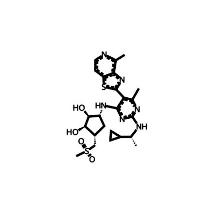 Cc1nc(N[C@H](C)C2CC2)nc(N[C@@H]2C[C@H](CS(C)(=O)=O)[C@@H](O)[C@H]2O)c1-c1nc2c(C)nccc2s1